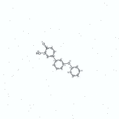 O=c1ccn(-c2cccc(Oc3ccccc3)c2)cc1O